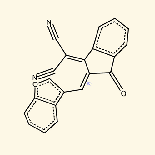 N#CC(C#N)=C1/C(=C\c2coc3ccccc23)C(=O)c2ccccc21